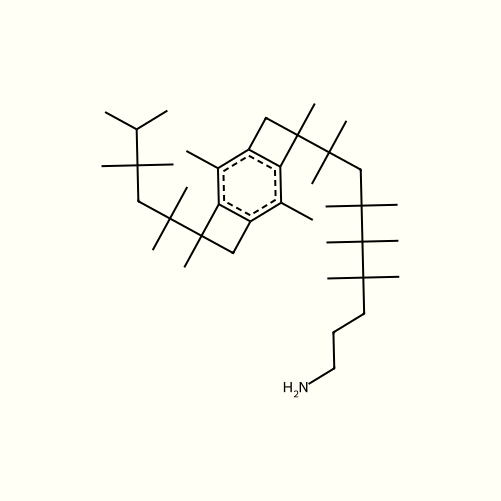 Cc1c2c(c(C)c3c1C(C)(C(C)(C)CC(C)(C)C(C)C)C3)C(C)(C(C)(C)CC(C)(C)C(C)(C)C(C)(C)CCCN)C2